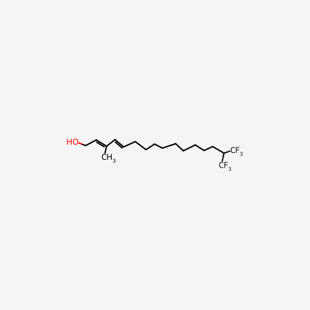 CC(/C=C/CCCCCCCCCC(C(F)(F)F)C(F)(F)F)=C\CO